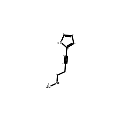 CC(C)(C)NCCC#Cc1cccs1